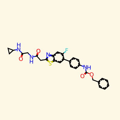 O=C(Cc1nc2cc(F)c(-c3ccc(NC(=O)OCc4ccccc4)cc3)cc2s1)NCC(=O)NC1CC1